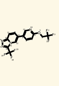 FC(F)(F)COc1ccc(-c2ccc3nnc(C(F)(F)F)n3c2)cn1